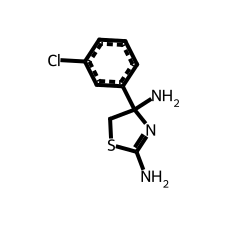 NC1=NC(N)(c2cccc(Cl)c2)CS1